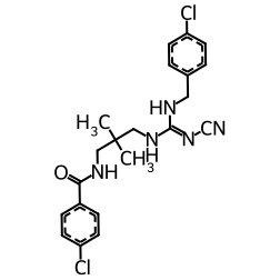 CC(C)(CNC(=O)c1ccc(Cl)cc1)CNC(=NC#N)NCc1ccc(Cl)cc1